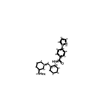 CCCCCCC1CCCN(C[C@@H]2CCCC[C@H]2NC(=O)c2ccc(-n3cccn3)cc2)C1